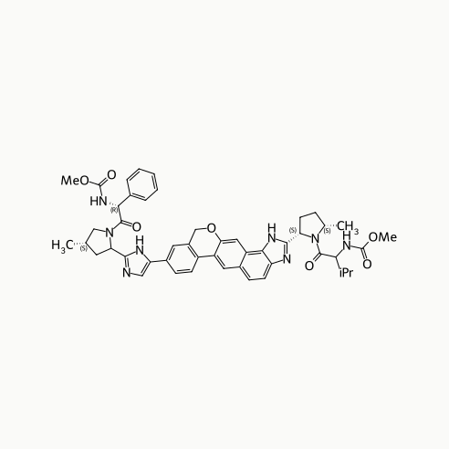 COC(=O)NC(C(=O)N1[C@@H](C)CC[C@H]1c1nc2ccc3cc4c(cc3c2[nH]1)OCc1cc(-c2cnc(C3C[C@H](C)CN3C(=O)[C@H](NC(=O)OC)c3ccccc3)[nH]2)ccc1-4)C(C)C